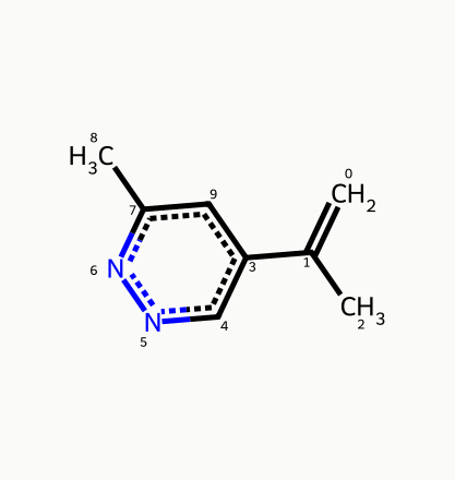 C=C(C)c1cnnc(C)c1